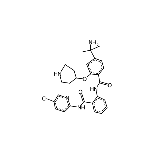 CC(C)(N)c1ccc(C(=O)Nc2ccccc2C(=O)Nc2ccc(Cl)cn2)c(OC2CCNCC2)c1